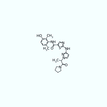 Cc1ccc(O)c(C)c1NC(=O)c1cnc(Nc2ccn(C(C)C(=O)N3CCCC3)n2)s1